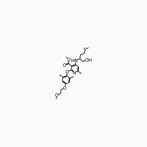 COCCOc1cc(C)c(Oc2nc(C)cc(NC(CO)CCSC)c2C(=O)OC)c(C)c1